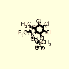 CS(=O)(=O)[O-].Cn1c(C(F)(F)F)[n+](C)c2c(Cl)c(Cl)c(Cl)c(Cl)c21